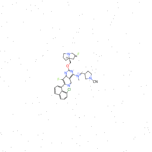 C/[N+](=C\C1CCN(C#N)C1)c1nc(OC[C@@]23CCCN2C[C@H](F)C3)nc2c(F)c(-c3cccc4cccc(Cl)c34)ncc12